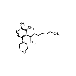 CCCCCCC(C)c1c(N2CCOCC2)nnc(N)c1C